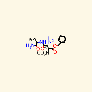 CC(C)C[C@@H](NC(=O)[C@@H](N)C(C(=O)O)C(=O)OCc1ccccc1)C(N)=O